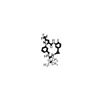 CC(C)(C)OC(=O)NCc1cccc(-n2nc(C(F)(F)F)cc2C(=O)Nc2cc(C3CC3Br)ccc2F)c1